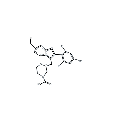 O=C(O)N1CCO[C@@H](Cc2c(-c3c(F)cc(Br)cc3F)nc3cc(CO)ccn23)C1